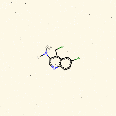 CN(C(=O)O)c1cnc2ccc(Br)cc2c1CBr